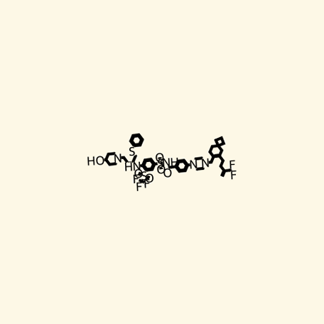 C=C(CCC1=C(CN2CCN(c3ccc(C(=O)NS(=O)(=O)c4ccc(N[C@H](CCN5CCC(O)CC5)CSc5ccccc5)c(S(=O)(=O)C(F)(F)F)c4)cc3)CC2)CCC2(CCC2)C1)C(F)F